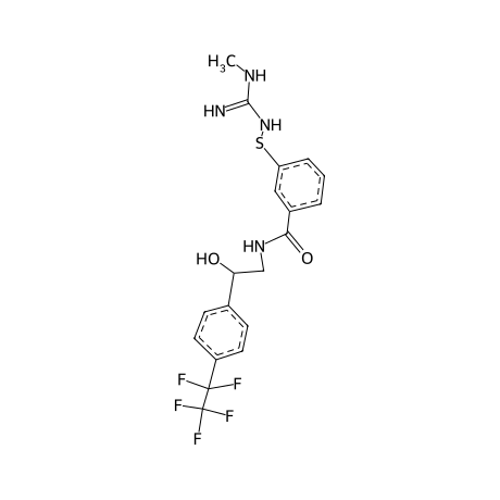 CNC(=N)NSc1cccc(C(=O)NCC(O)c2ccc(C(F)(F)C(F)(F)F)cc2)c1